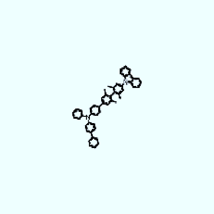 Cc1cc(-c2ccc(N(c3ccccc3)c3ccc(-c4ccccc4)cc3)cc2)cc(C)c1-c1c(C)cc(-n2c3ccccc3c3ccccc32)cc1C